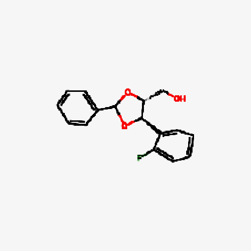 OC[C@H]1OC(c2ccccc2)O[C@@H]1c1ccccc1F